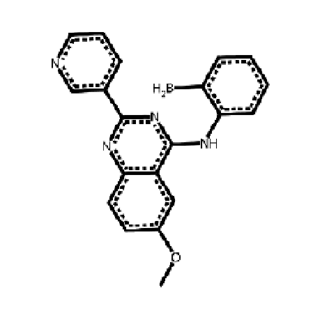 Bc1ccccc1Nc1nc(-c2cccnc2)nc2ccc(OC)cc12